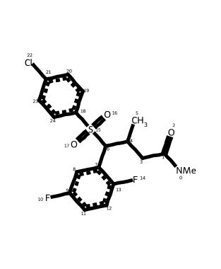 CNC(=O)CC(C)C(c1cc(F)ccc1F)S(=O)(=O)c1ccc(Cl)cc1